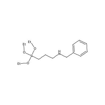 CCO[Si](CCCNCc1ccccc1)(OCC)OCC